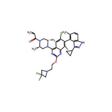 C=CC(=O)N1C[C@H](C)N(c2nc(OCCN3CC(F)(F)C3)nc3c(F)c(-c4c(C)ccc5[nH]nc(C6CC6)c45)c(Cl)cc23)C[C@H]1C